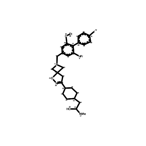 CCCc1cc(CN2CC3(CC(C4CCC(CC(O)NC)CC4)=NO3)C2)cc(OCC)c1-c1ccc(I)cc1